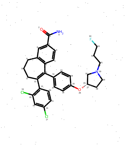 NC(=O)c1ccc2c(c1)CCCC(c1ccc(Cl)cc1Cl)=C2c1ccc(O[C@H]2CCN(CCCF)C2)cc1